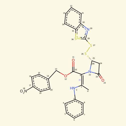 C/C(Nc1ccccc1)=C(/C(=O)OCc1ccc([N+](=O)[O-])cc1)N1C(=O)C[C@H]1SSc1nc2ccccc2s1